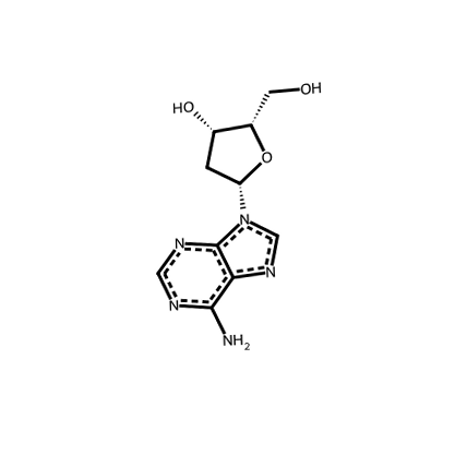 Nc1ncnc2c1ncn2[C@@H]1C[C@H](O)[C@H](CO)O1